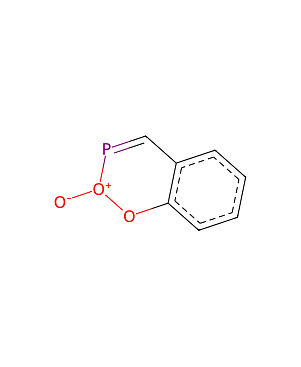 [O-][O+]1Oc2ccccc2C=P1